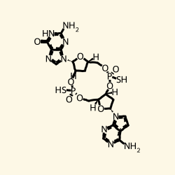 Nc1nc2c(ncn2[C@@H]2O[C@@H]3COP(=O)(S)O[C@@H]4C[C@H](n5ccc6c(N)ncnc65)O[C@@H]4COP(=O)(S)O[C@@H]2C3)c(=O)[nH]1